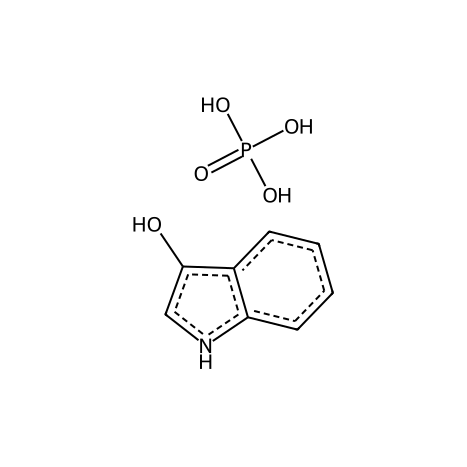 O=P(O)(O)O.Oc1c[nH]c2ccccc12